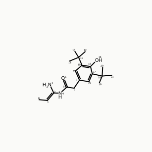 CC=C(N)NC(=O)Cc1cc(C(C)(C)C)c(O)c(C(C)(C)C)c1